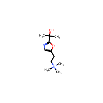 CC(C)(O)c1ncc(CC[N+](C)(C)C)o1